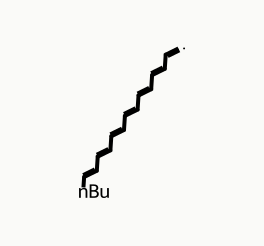 [CH]=CC=CC=CC=CC=CC=CC=CCCCC